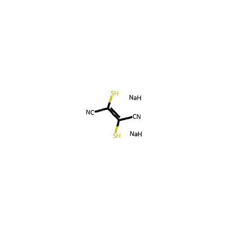 N#CC(S)=C(S)C#N.[NaH].[NaH]